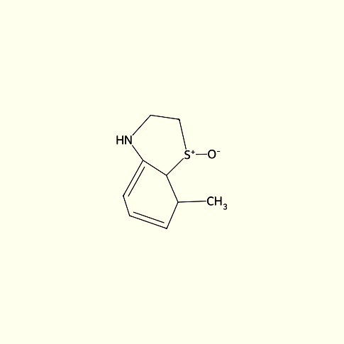 CC1C=CC=C2NCC[S+]([O-])C21